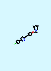 CC(COc1ccc(C#Cc2ccc(-c3ccc(Cl)cc3)cn2)cc1)N(CC1CC1)CC1CC1